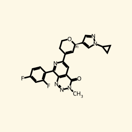 Cn1nnc2c(-c3ccc(F)cc3F)nc(C3=C[C@H](c4cnn(C5CC5)c4)OCC3)cc2c1=O